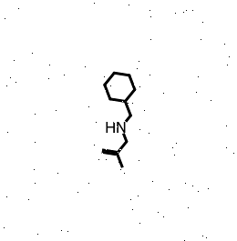 C=C(C)CNCC1CCCCC1